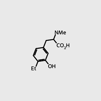 CCc1ccc(CC(NC)C(=O)O)cc1O